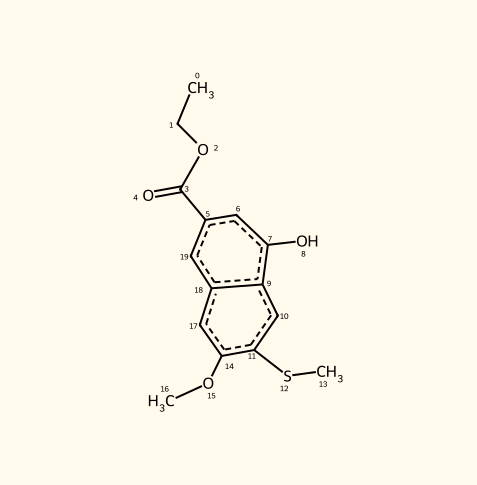 CCOC(=O)c1cc(O)c2cc(SC)c(OC)cc2c1